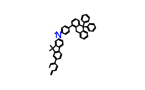 C=C/C=C\C(=C/C)c1ccc2c(c1)C(C)(C)c1cc(N(C)c3ccc(-c4cccc5c4Cc4ccccc4C5(c4ccccc4)c4ccccc4)cc3)ccc1-2